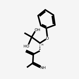 C=C(C[C@@H](Oc1ccccc1)C(C)(O)O)C(C)=N